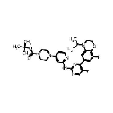 CC(C)N1CCOc2c(F)cc(-c3nc(Nc4cc(N5CCN(C(=O)OC(C)(C)C)CC5)ccn4)ncc3F)cc21